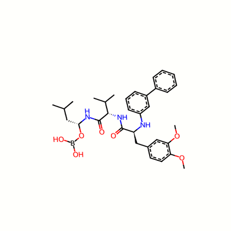 COc1ccc(C[C@H](Nc2cccc(-c3ccccc3)c2)C(=O)N[C@H](C(=O)N[C@@H](CC(C)C)OB(O)O)C(C)C)cc1OC